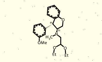 CCOC(CN(C)[C@@H]1COc2ccccc2[C@H]1c1cccc(OC)c1)OCC